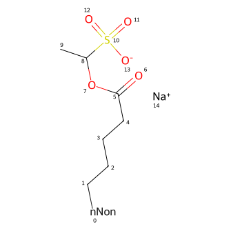 CCCCCCCCCCCCCC(=O)OC(C)S(=O)(=O)[O-].[Na+]